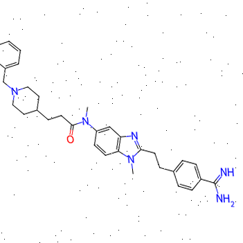 CN(C(=O)CCC1CCN(Cc2ccccc2)CC1)c1ccc2c(c1)nc(CCc1ccc(C(=N)N)cc1)n2C